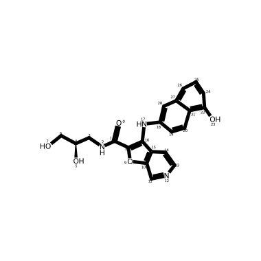 O=C(NC[C@@H](O)CO)c1oc2cnccc2c1Nc1ccc2c(O)cccc2c1